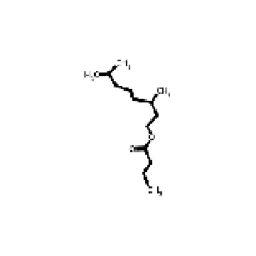 CCCC(=O)OCCC(C)CCCC(C)C